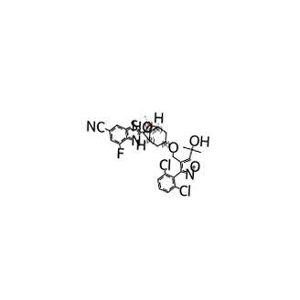 C[C@H]1C[C@@H]2C[C@@H](OCc3c(-c4c(Cl)cccc4Cl)noc3C(C)(C)O)C[C@H]1[C@]2(O)c1nc2c(F)cc(C#N)cc2s1